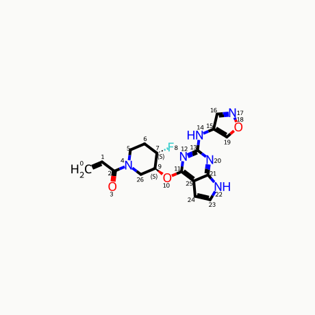 C=CC(=O)N1CC[C@H](F)[C@@H](Oc2nc(Nc3cnoc3)nc3[nH]ccc23)C1